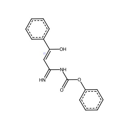 N=C(/C=C(\O)c1ccccc1)NC(=O)Oc1ccccc1